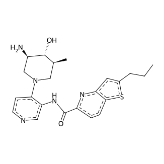 CCCc1cc2nc(C(=O)Nc3cnccc3N3C[C@@H](N)[C@H](O)[C@@H](C)C3)ccc2s1